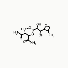 CO[C@@H](OC(CC(N)=O)C(N)=O)C(O)C(O)C1OCC1C